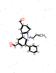 CCCn1c2ccc(C=O)cc2c2cc(C=O)cc(-c3ccccc3)c21